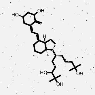 C=C1/C(=C\C=C2/CCC[C@]3(C)[C@@H]([C@@H](CCCC(C)(C)O)CCC(O)C(C)(C)O)CC[C@@H]23)C[C@@H](O)CC1O